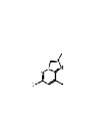 Cc1cn2nc(Br)cc(C)c2n1